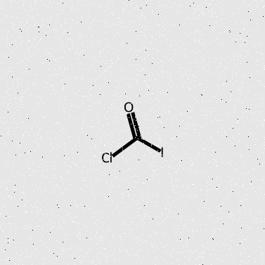 O=C(Cl)I